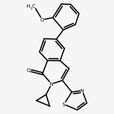 COc1ccccc1-c1ccc2c(=O)n(C3CC3)c(-c3nccs3)cc2c1